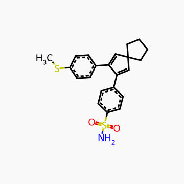 CSc1ccc(C2=CC3(C=C2c2ccc(S(N)(=O)=O)cc2)CCCC3)cc1